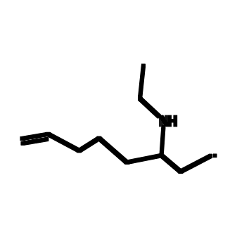 [CH2]CC(CCCC=C)NCC